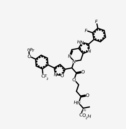 CCCOc1ccc(-c2cc(C(C(=O)OCCC(=O)N[C@@H](C)C(=O)O)N3Cc4nc(-c5cccc(F)c5F)[nH]c4C=N3)on2)c(C(F)(F)F)c1